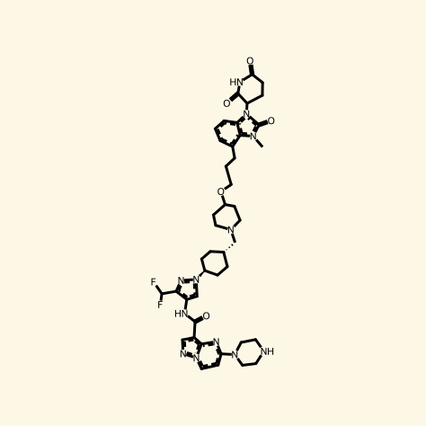 Cn1c(=O)n(C2CCC(=O)NC2=O)c2cccc(CCCOC3CCN(C[C@H]4CC[C@H](n5cc(NC(=O)c6cnn7ccc(N8CCNCC8)nc67)c(C(F)F)n5)CC4)CC3)c21